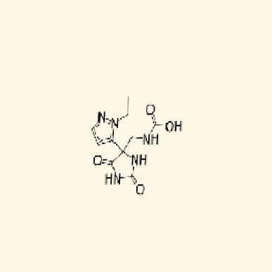 CCn1nccc1C1(CNC(=O)O)NC(=O)NC1=O